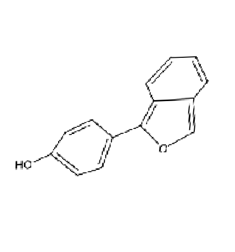 Oc1ccc(-c2occ3ccccc23)cc1